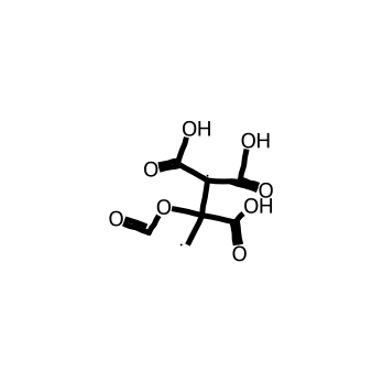 [CH2]C(OC=O)([C](C(=O)O)C(=O)O)C(=O)O